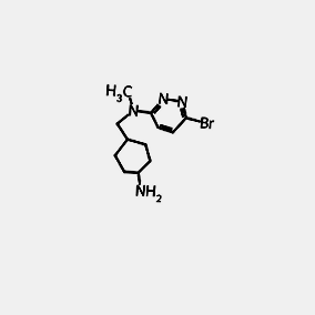 CN(CC1CCC(N)CC1)c1ccc(Br)nn1